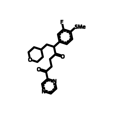 CSc1ccc(C(CC2CCOCC2)C(=O)CCC(=O)c2cnccn2)cc1F